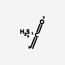 C=C=O.S